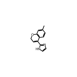 Cc1ccc2c(c1)OCC=C2c1ncc[nH]1